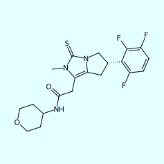 Cn1c(CC(=O)NC2CCOCC2)c2n(c1=S)C[C@H](c1c(F)ccc(F)c1F)C2